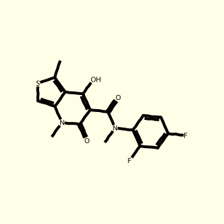 Cc1scc2c1c(O)c(C(=O)N(C)c1ccc(F)cc1F)c(=O)n2C